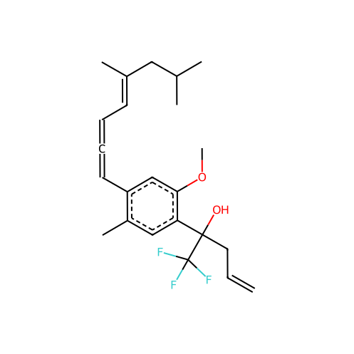 C=CCC(O)(c1cc(C)c(C=C=C/C=C(\C)CC(C)C)cc1OC)C(F)(F)F